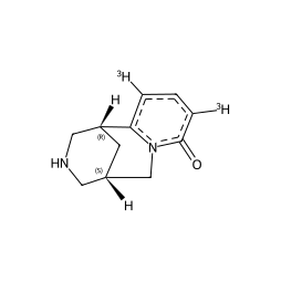 [3H]c1cc([3H])c(=O)n2c1[C@H]1CNC[C@H](C1)C2